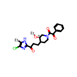 CCO[C@H]1CN(C(=O)C(=O)c2ccccc2)CCC1CCC(=O)c1nc(Cl)c(CC)[nH]1